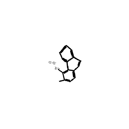 Cc1ccc2ccc3ccccc3c2[c]1[Zr+2].[Cl-].[Cl-]